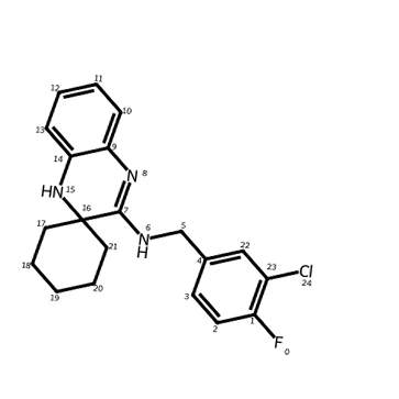 Fc1ccc(CNC2=Nc3ccccc3NC23CCCCC3)cc1Cl